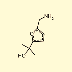 CC(C)(O)c1ccc(CN)o1